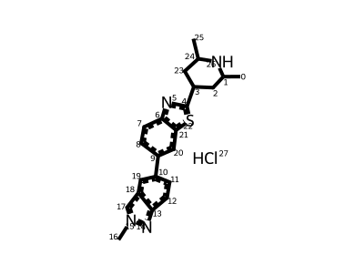 CC1CC(c2nc3ccc(-c4ccc5nn(C)cc5c4)cc3s2)CC(C)N1.Cl